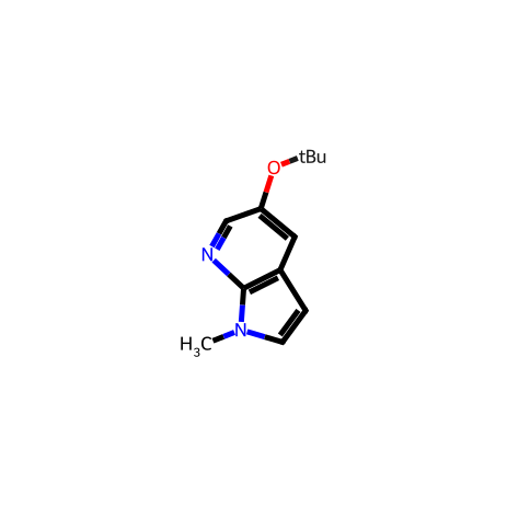 Cn1ccc2cc(OC(C)(C)C)cnc21